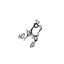 O=C1N[C@H](C(=O)O)Cc2ccc(c(Cl)c2)OC/C=C/COc2ccc(Br)cc21